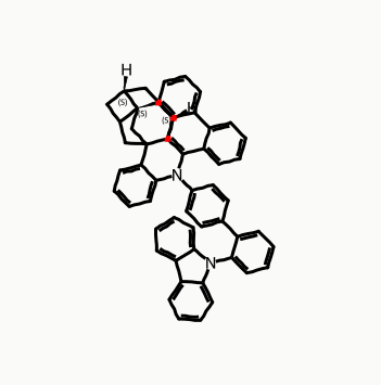 c1ccc(-n2c3ccccc3c3ccccc32)c(-c2ccc(N(c3ccccc3C34CC5C[C@@H]6C[C@H](C3)C[C@@]56C4)c3cc4ccccc4c4ccccc34)cc2)c1